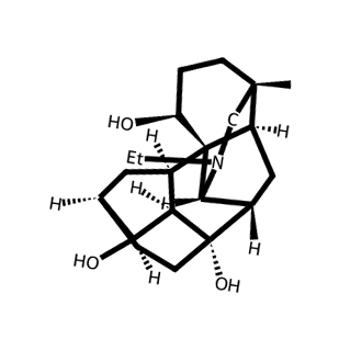 CCN1C[C@]2(C)CC[C@H](O)[C@@]34[C@@H]5C[C@@H]6CC[C@@](O)([C@H]5[C@H]6O)[C@@H](C[C@H]23)[C@@H]14